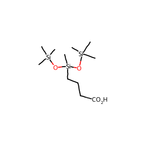 C[Si](C)(C)O[Si](C)(CCCC(=O)O)O[Si](C)(C)C